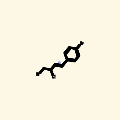 ClC(/C=C/c1ccc(Br)cc1)CBr